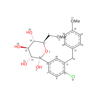 COC[C@H]1O[C@@](O)(c2ccc(Cl)c(Cc3ccc(OC)cc3)c2)[C@H](O)[C@@H](O)[C@@H]1O